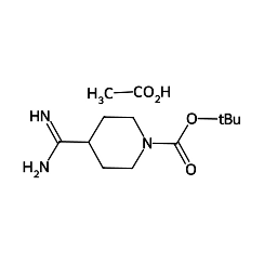 CC(=O)O.CC(C)(C)OC(=O)N1CCC(C(=N)N)CC1